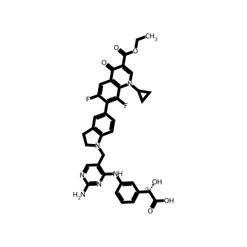 CCOC(=O)c1cn(C2CC2)c2c(F)c(-c3ccc4c(c3)CCN4Cc3cnc(N)nc3Nc3cccc([C@H](O)C(=O)O)c3)c(F)cc2c1=O